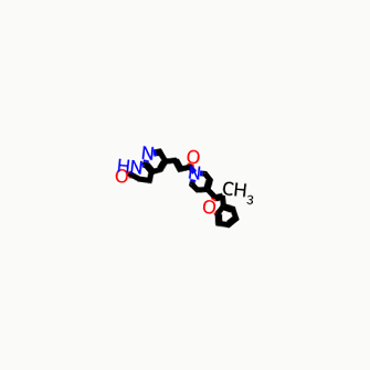 Cc1c(C2=CCN(C(=O)C=Cc3cnc4c(c3)CCC(=O)N4)CC2)oc2ccccc12